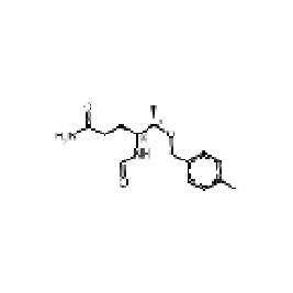 Cc1ccc(CO[C@H](C)[C@H](CCC(N)=O)NC=O)cc1